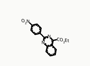 CCOC(=O)c1nc(-c2ccc([N+](=O)[O-])cc2)nc2ccccc12